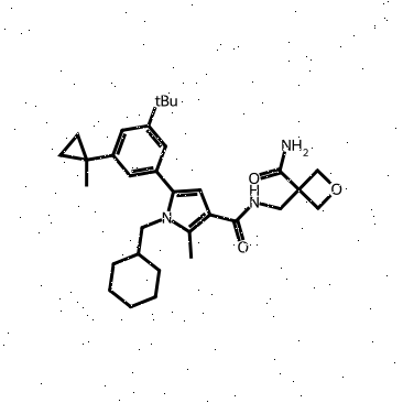 Cc1c(C(=O)NCC2(C(N)=O)COC2)cc(-c2cc(C(C)(C)C)cc(C3(C)CC3)c2)n1CC1CCCCC1